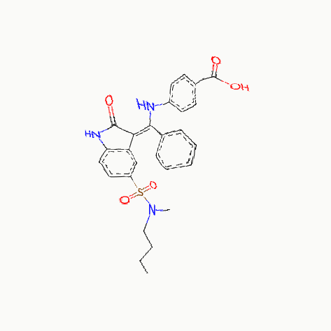 CCCCN(C)S(=O)(=O)c1ccc2c(c1)/C(=C(/Nc1ccc(C(=O)O)cc1)c1ccccc1)C(=O)N2